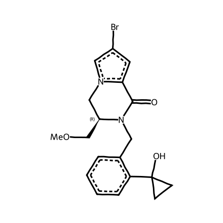 COC[C@H]1Cn2cc(Br)cc2C(=O)N1Cc1ccccc1C1(O)CC1